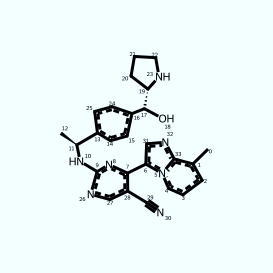 Cc1cccn2c(-c3nc(N[C@@H](C)c4ccc(C(O)[C@@H]5CCCN5)cc4)ncc3C#N)cnc12